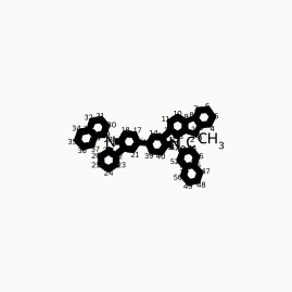 CC1(C)c2ccccc2-c2ccc3c4cc(-c5ccc6c(c5)c5ccccc5n6-c5cccc6ccccc56)ccc4n(-c4ccc5ccccc5c4)c3c21